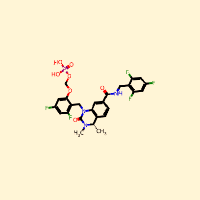 C[C@H]1c2ccc(C(=O)NCc3c(F)cc(F)cc3F)cc2N(Cc2c(F)cc(F)cc2OCOP(=O)(O)O)C(=O)N1C